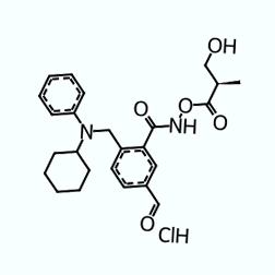 C[C@H](CO)C(=O)ONC(=O)c1cc(C=O)ccc1CN(c1ccccc1)C1CCCCC1.Cl